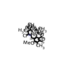 COc1c(C)c2c(c(NC(=O)N(C)C)c1C/C=C(\Cl)C(C)C(C(=O)O)S(C)(=O)=O)C(=O)OC2